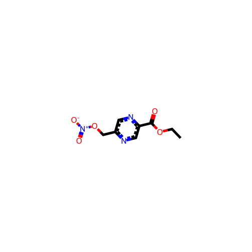 CCOC(=O)c1cnc(CO[N+](=O)[O-])cn1